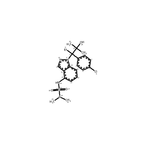 CCC(c1ccc(Cl)cc1)(n1ncc2c(NS(=O)(=O)N(C)C)cccc21)C(C)(C)O